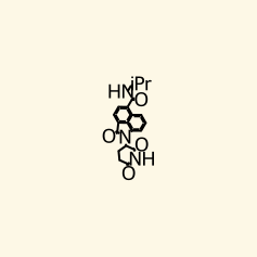 CC(C)NC(=O)c1ccc2c3c(cccc13)N(C1CCC(=O)NC1=O)C2=O